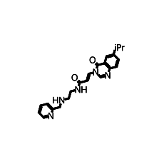 CC(C)c1ccc2ncn(/C=C/C(=O)NCCNCc3ccccn3)c(=O)c2c1